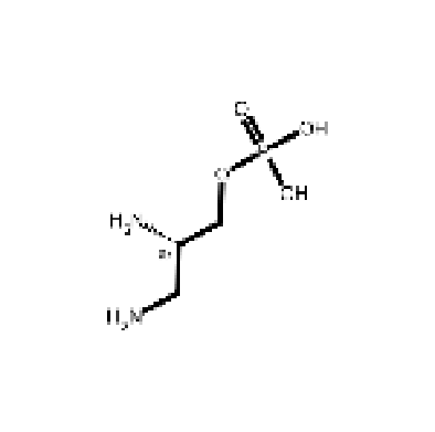 NC[C@H](N)COP(=O)(O)O